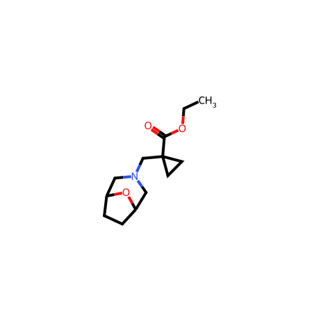 CCOC(=O)C1(CN2CC3CCC(C2)O3)CC1